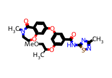 COC[C@H](C)Oc1cc(Oc2ccc3c(c2)OCCN(C)C3=O)cc(C(=O)Nc2nc(C)ns2)c1